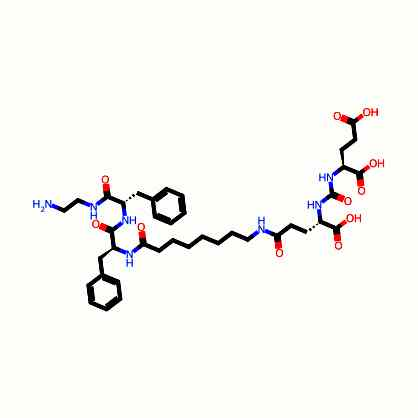 NCCNC(=O)[C@H](Cc1ccccc1)NC(=O)[C@H](Cc1ccccc1)NC(=O)CCCCCCCNC(=O)CC[C@H](NC(=O)N[C@@H](CCC(=O)O)C(=O)O)C(=O)O